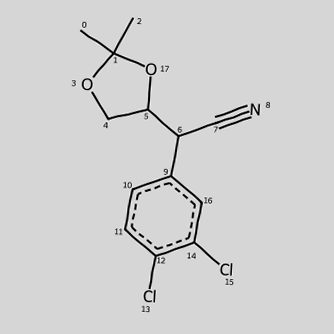 CC1(C)OCC(C(C#N)c2ccc(Cl)c(Cl)c2)O1